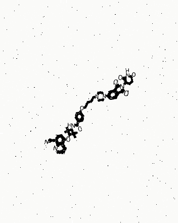 CC1(C)[C@H](NC(=O)c2ccc(OCCCCN3CCN(c4ccc5c(c4)C(=O)N(C4CCC(=O)NC4=O)C5=O)CC3)cc2)C(C)(C)[C@H]1Oc1ccc(C#N)c2ncccc12